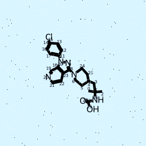 CC(C)(CC1CCN(c2nn(-c3ccc(Cl)cc3)c3cnccc23)CC1)NC(=O)O